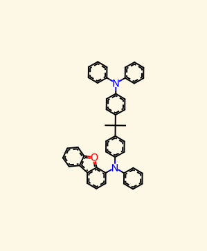 CC(C)(c1ccc(N(c2ccccc2)c2ccccc2)cc1)c1ccc(N(c2ccccc2)c2cccc3c2oc2ccccc23)cc1